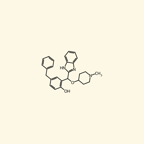 CN1CCC(OC(c2nc3ccccc3[nH]2)c2cc(Cc3ccccc3)ccc2O)CC1